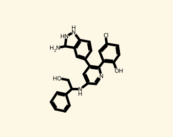 NC1NNc2ccc(-c3cc(NC(CO)c4ccccc4)cnc3-c3cc(Cl)ccc3O)cc21